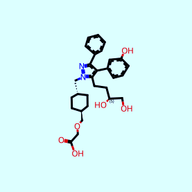 O=C(O)COC[C@H]1CC[C@H](Cn2nc(-c3ccccc3)c(-c3cccc(O)c3)c2CC[C@H](O)CO)CC1